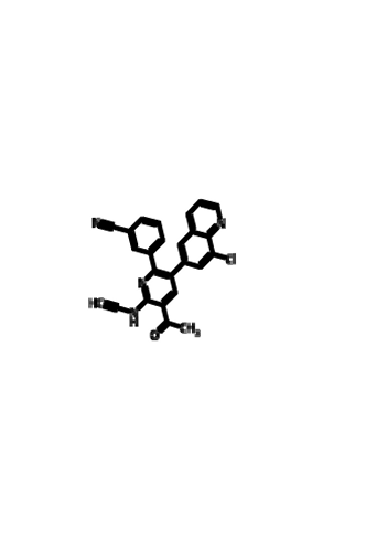 C#CNc1nc(-c2cccc(C#N)c2)c(-c2cc(Cl)c3ncccc3c2)cc1C(C)=O